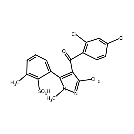 Cc1cccc(-c2c(C(=O)c3ccc(Cl)cc3Cl)c(C)nn2C)c1S(=O)(=O)O